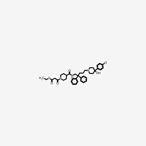 CCOC(=O)CC(=O)N1CCC(C(=O)NCC(CCCN2CCC(O)(c3ccc(Cl)cc3)CC2)(c2ccccc2)c2ccccc2)CC1